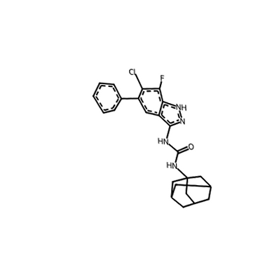 O=C(Nc1n[nH]c2c(F)c(Cl)c(-c3ccccc3)cc12)NC12CC3CC(CC(C3)C1)C2